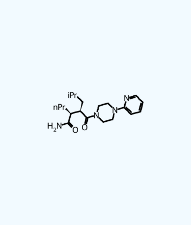 CCC[C@H](C(N)=O)[C@@H](CC(C)C)C(=O)N1CCN(c2ccccn2)CC1